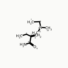 C=C(CC)C(N)=O.CCN(C)C